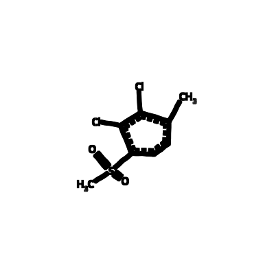 Cc1ccc(S(C)(=O)=O)c(Cl)c1Cl